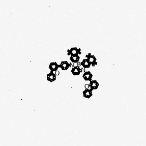 CC1(C)CCC(C)(C)c2cc3c(cc21)B1c2cc4c(cc2N(c2ccc(-c5cccc6c5oc5ccccc56)cc2)c2cccc(c21)N3c1ccc(-c2cccc3c2oc2ccccc23)cc1)C(C)(C)CCC4(C)C